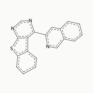 c1ccc2cc(-c3ncnc4sc5ccccc5c34)ncc2c1